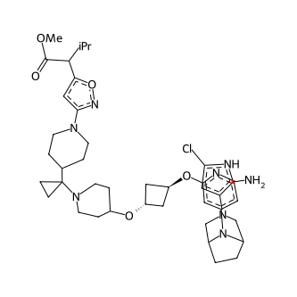 COC(=O)C(c1cc(N2CCC(C3(N4CCC(O[C@H]5C[C@H](Oc6cc(N7C8CCC7CN(c7cc(Cl)[nH]c7N)C8)ccn6)C5)CC4)CC3)CC2)no1)C(C)C